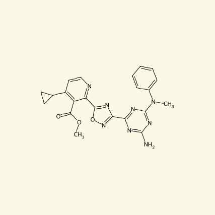 COC(=O)c1c(C2CC2)ccnc1-c1nc(-c2nc(N)nc(N(C)c3ccccc3)n2)no1